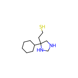 SCCC1(C2CCCCC2)CNCN1